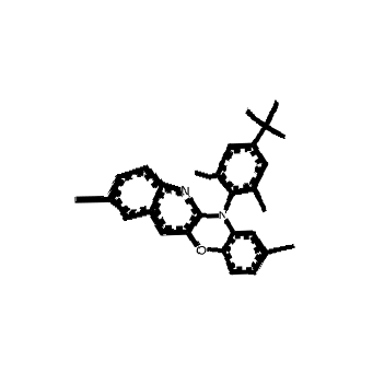 Cc1ccc2c(c1)N(c1c(C)cc(C(C)(C)C)cc1C)c1nc3ccc(C)cc3cc1O2